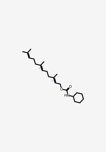 CC(C)=CCC/C(C)=C/CC/C(C)=C/COC(=O)NC1CCCCC1